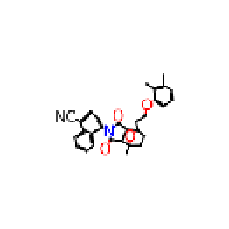 Cc1cccc(OCCC23CCC(C)(O2)C2C(=O)N(c4ccc(C#N)c5ccccc45)C(=O)C23)c1C